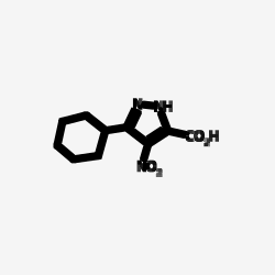 O=C(O)c1[nH]nc(C2CCCCC2)c1[N+](=O)[O-]